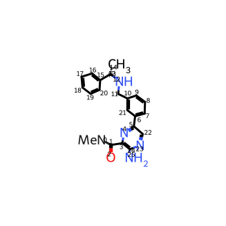 CNC(=O)c1nc(-c2cccc(CN[C@@H](C)c3ccccc3)c2)cnc1N